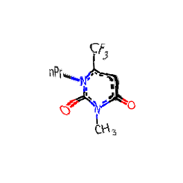 CCCn1c(C(F)(F)F)cc(=O)n(C)c1=O